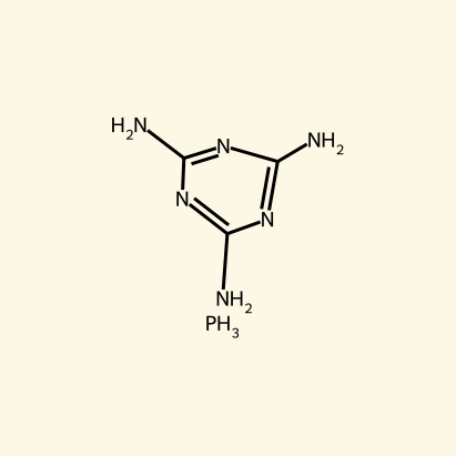 Nc1nc(N)nc(N)n1.P